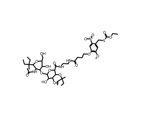 CCOC(=O)SCc1cc(OC)c(OCCCC(=O)NCCNC(=O)C2OC(OC3C(O)C(CO)OC(C(C)(CC)CC)C3NC(C)=O)C(O)C(O)C2OC(C)(CC)CC)cc1[N+](=O)[O-]